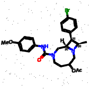 COc1ccc(NC(=O)N2CCC(OC(C)=O)CN3[C@H](C)[C@H](c4ccc(Br)cc4)[C@@H]3C2)cc1